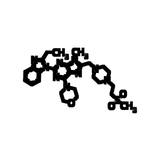 CCc1nc2ccccc2n1-c1nc(N2CCOCC2)c2nc(CN3CCN(CCS(C)(=O)=O)CC3)n(C)c2n1